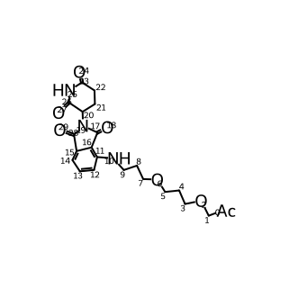 CC(=O)COCCCOCCCNc1cccc2c1C(=O)N(C1CCC(=O)NC1=O)C2=O